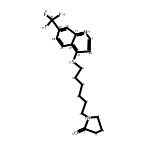 O=C1CCCN1CCCCCCSc1ccnc2cc(C(F)(F)F)ccc12